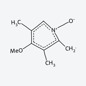 [CH2]c1c(C)c(OC)c(C)c[n+]1[O-]